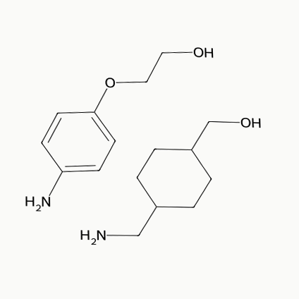 NCC1CCC(CO)CC1.Nc1ccc(OCCO)cc1